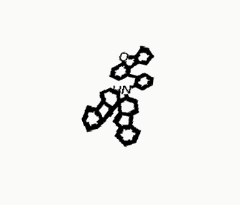 C1=CC2(C(Nc3ccccc3-c3cccc4oc5ccccc5c34)=CC=C3C2=Cc2ccccc23)C2=Cc3ccccc3C2=C1